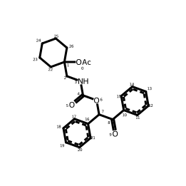 CC(=O)OC1(CNC(=O)OC(C(=O)c2ccccc2)c2ccccc2)CCCCC1